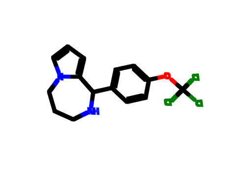 ClC(Cl)(Cl)Oc1ccc(C2NCCCn3cccc32)cc1